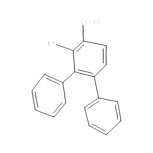 CCc1c(C(=O)O)ccc(-c2ccccc2)c1-c1ccccc1